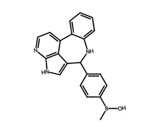 CB(O)c1ccc(C2Nc3ccccc3-c3ccnc4[nH]cc2c34)cc1